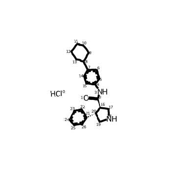 Cl.O=C(Nc1ccc(C2CCCCC2)cc1)[C@H]1CNC[C@@H]1c1ccccc1